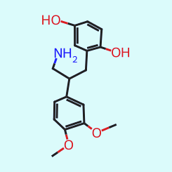 COc1ccc(C(CN)Cc2cc(O)ccc2O)cc1OC